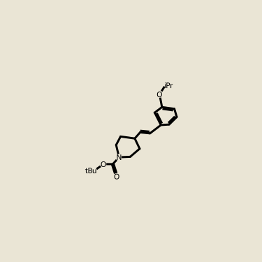 CC(C)Oc1cccc(/C=C/C2CCN(C(=O)OC(C)(C)C)CC2)c1